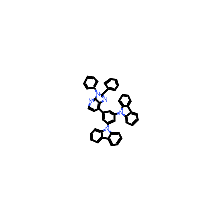 c1ccc(-c2nc3c(-c4cc(-n5c6ccccc6c6ccccc65)cc(-n5c6ccccc6c6ccccc65)c4)ccnc3n2-c2ccccc2)cc1